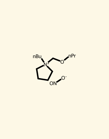 CCCC[N+]1(COCCC)CCCC1.O=N[O-]